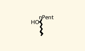 CC=CCCCC(O)CCCCCC